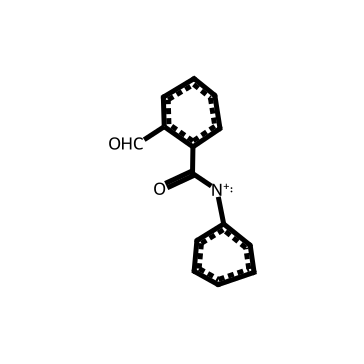 O=Cc1ccccc1C(=O)[N+]c1ccccc1